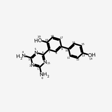 Nc1nc(N)nc(-c2cc(-c3ccc(O)cc3)ccc2O)n1